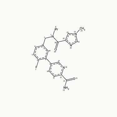 CC(C)N(Cc1ccc(F)c(-c2ccc(C(N)=O)nc2)c1)C(=O)c1cn(C)cn1